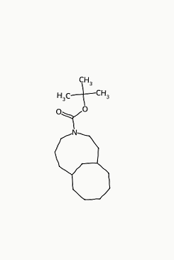 CC(C)(C)OC(=O)N1CCCC2CCCCCC(CC1)C2